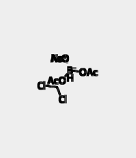 CC(=O)O[BH-](OC(C)=O)OC(C)=O.ClCCl.[Na+]